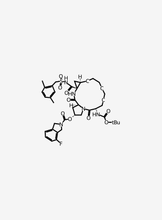 Cc1ccc(C)c(CS(=O)(=O)NC(=O)[C@@]23C[C@H]2CCCCCCC[C@H](NC(=O)OC(C)(C)C)C(=O)N2C[C@H](OC(=O)N4Cc5cccc(F)c5C4)C[C@H]2C(=O)N3)c1